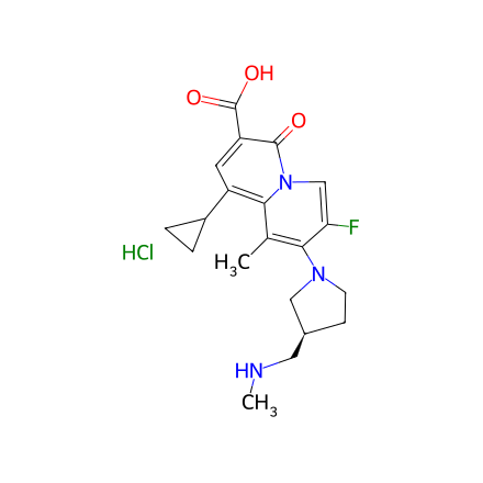 CNC[C@@H]1CCN(c2c(F)cn3c(=O)c(C(=O)O)cc(C4CC4)c3c2C)C1.Cl